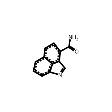 NC(=O)c1ccc2cccc3c2c1C=N3